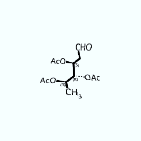 CC(=O)O[C@@H]([C@H](CC=O)OC(C)=O)[C@@H](C)OC(C)=O